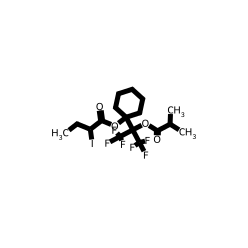 CCC(I)C(=O)OC1(C(OC(=O)C(C)C)(C(F)(F)F)C(F)(F)F)CCCCC1